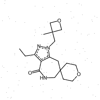 [CH2]C1(Cn2nc(CC)c3c2CC2(CCOCC2)CNC3=O)COC1